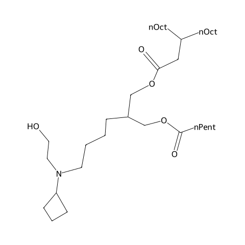 CCCCCCCCC(CCCCCCCC)CC(=O)OCC(CCCCN(CCO)C1CCC1)COC(=O)CCCCC